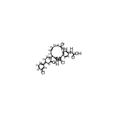 O=C(O)Nc1ccc2c(c1)NC(=O)CCC=CC[C@H](N1CCC(c3cccc(Cl)c3)CC1=O)c1nc-2c(Cl)[nH]1